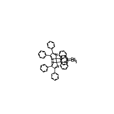 Cc1ccc(C2(C3(c4ccc(C)c5ccccc45)N=C(c4ccccc4)C(c4ccccc4)=N3)N=C(c3ccccc3)C(c3ccccc3)=N2)c2ccccc12